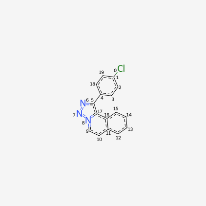 Clc1ccc(-c2nnn3ccc4ccccc4c23)cc1